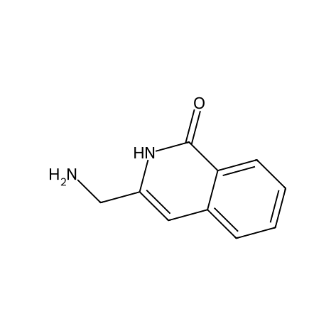 NCc1cc2ccccc2c(=O)[nH]1